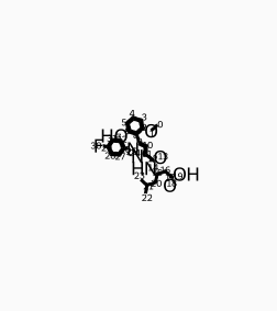 COc1cccc(O)c1-c1cc(C(=O)NC(CC(=O)O)CC(C)C)nn1-c1ccc(F)cc1